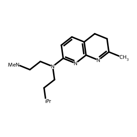 CNCCN(CCC(C)C)c1ccc2c(n1)N=C(C)CC2